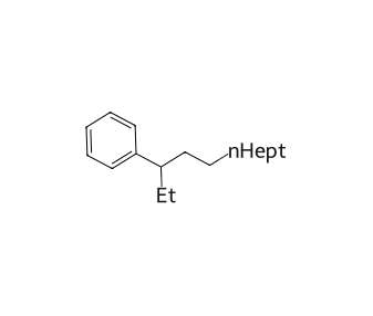 [CH2]CCCCCCCCC(CC)c1ccccc1